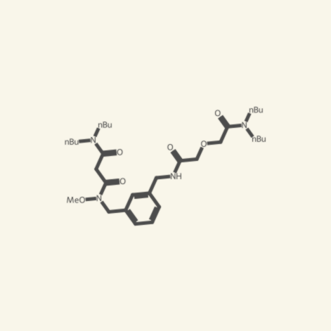 CCCCN(CCCC)C(=O)COCC(=O)NCc1cccc(CN(OC)C(=O)CC(=O)N(CCCC)CCCC)c1